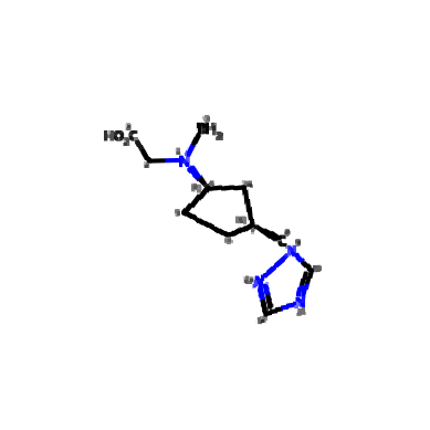 BN(CC(=O)O)[C@@H]1CC[C@H](Cn2cncn2)C1